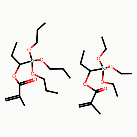 C=C(C)C(=O)OC(CC)[Si](OCC)(OCC)OCC.C=C(C)C(=O)OC(CC)[Si](OCCC)(OCCC)OCCC